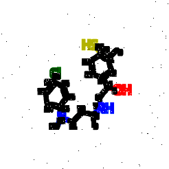 Cc1cc(C(O)CNC(C)CCN(C)c2ccc(Cl)cc2)ccc1S